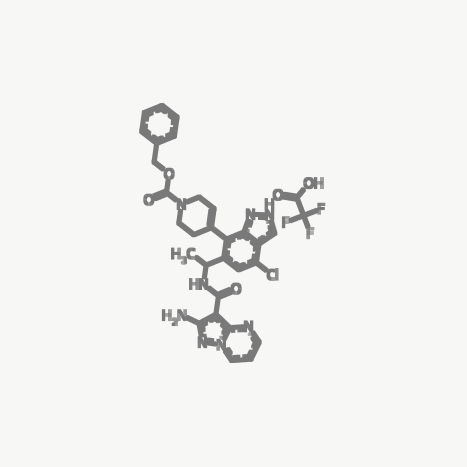 CC(NC(=O)c1c(N)nn2cccnc12)c1cc(Cl)c2c[nH]nc2c1C1=CCN(C(=O)OCc2ccccc2)CC1.O=C(O)C(F)(F)F